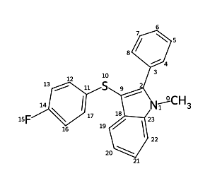 Cn1c(-c2ccccc2)c(Sc2ccc(F)cc2)c2ccccc21